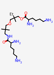 CCC(C)(COCC(C)(C)CNC(=O)C(N)CCCCN)COC(=O)C(N)CCCCN